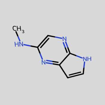 CNc1cnc2[nH]ccc2n1